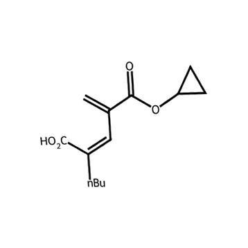 C=C(C=C(CCCC)C(=O)O)C(=O)OC1CC1